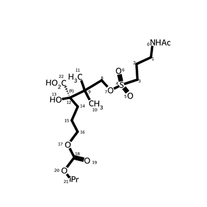 CC(=O)NCCCS(=O)(=O)OCC(C)(C)[C@](O)(CCCOC(=O)OC(C)C)C(=O)O